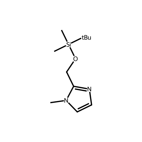 Cn1ccnc1CO[Si](C)(C)C(C)(C)C